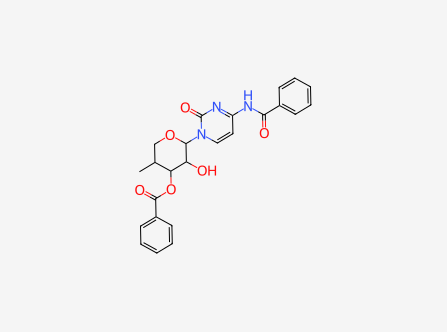 CC1COC(n2ccc(NC(=O)c3ccccc3)nc2=O)C(O)C1OC(=O)c1ccccc1